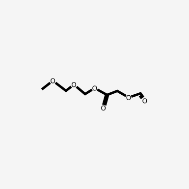 COCOCOC(=O)COC=O